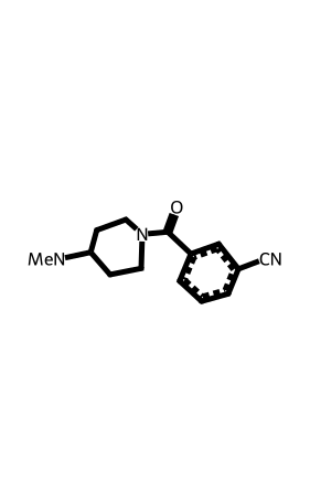 CNC1CCN(C(=O)c2cccc(C#N)c2)CC1